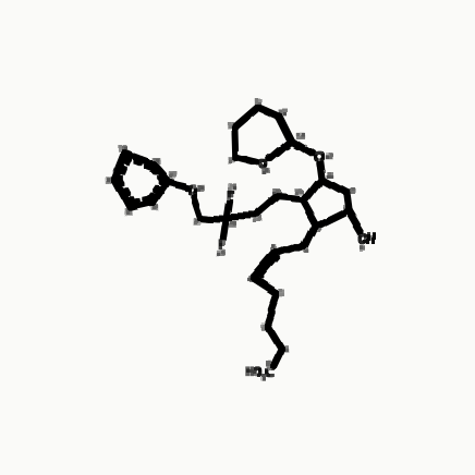 O=C(O)CCC/C=C\CC1C(O)CC(OC2CCCCO2)C1CCC(F)(F)COc1ccccc1